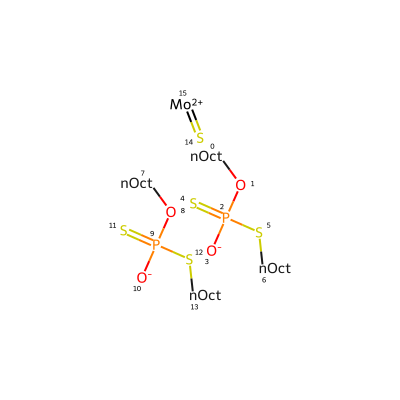 CCCCCCCCOP([O-])(=S)SCCCCCCCC.CCCCCCCCOP([O-])(=S)SCCCCCCCC.[S]=[Mo+2]